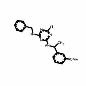 COc1cccc(C(C)Nc2nc(Cl)nc(NCc3ccccc3)n2)c1